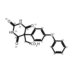 O=C(O)CC1(c2ccc(Oc3ccccc3)cc2)C(=O)NC(=O)NC1=O